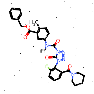 Cc1ccc(N(C(=O)n2nnn(-c3c(F)cccc3C(=O)N3CCCCC3)c2=O)C(C)C)cc1C(=O)OCc1ccccc1